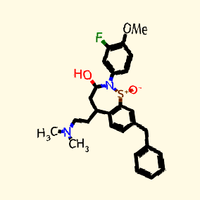 COc1ccc(N2C(O)CC(CCN(C)C)c3ccc(Cc4ccccc4)cc3[S+]2[O-])cc1F